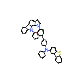 c1ccc(N(c2ccc(-c3ccc(-n4ccc5ccc6c7ccccc7n(-c7ccccc7)c6c54)cc3)cc2)c2ccc3sc4ccccc4c3c2)cc1